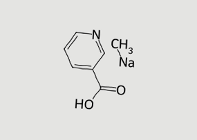 O=C(O)c1cccnc1.[CH3][Na]